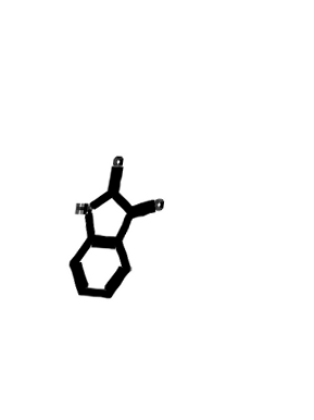 O=C1Nc2ccc[c]c2C1=O